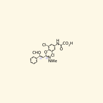 CN/N=C(\C=C(/C=O)c1ccccc1)Oc1c(Cl)cc(NC(=O)C(=O)O)cc1Cl